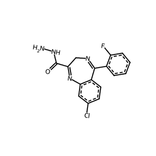 NNC(=O)C1=Nc2cc(Cl)ccc2C(c2ccccc2F)=NC1